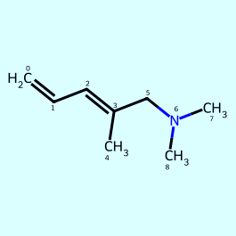 C=C/C=C(\C)CN(C)C